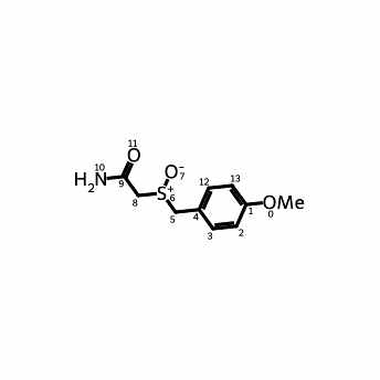 COc1ccc(C[S+]([O-])CC(N)=O)cc1